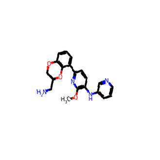 COc1nc(-c2cccc3c2OC(CN)CO3)ccc1Nc1cccnc1